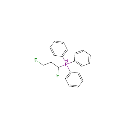 FCCC(F)[PH](c1ccccc1)(c1ccccc1)c1ccccc1